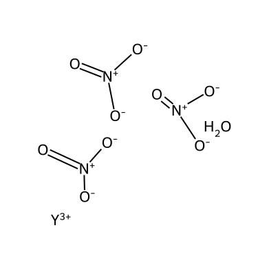 O.O=[N+]([O-])[O-].O=[N+]([O-])[O-].O=[N+]([O-])[O-].[Y+3]